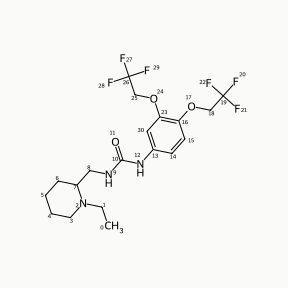 CCN1CCCCC1CNC(=O)Nc1ccc(OCC(F)(F)F)c(OCC(F)(F)F)c1